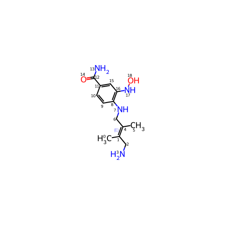 C/C(CN)=C(/C)CNc1ccc(C(N)=O)cc1NO